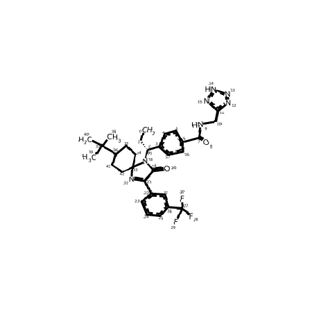 CC[C@H](c1ccc(C(=O)NCc2nn[nH]n2)cc1)N1C(=O)C(c2cccc(C(F)(F)F)c2)=NC12CCC(C(C)(C)C)CC2